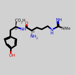 CNC(=N)NCCC[C@H](N)C(=O)N[C@@H](Cc1ccc(O)cc1)C(=O)O